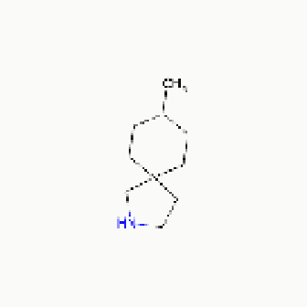 CC1CCC2(CCNC2)CC1